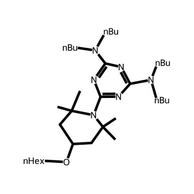 CCCCCCOC1CC(C)(C)N(c2nc(N(CCCC)CCCC)nc(N(CCCC)CCCC)n2)C(C)(C)C1